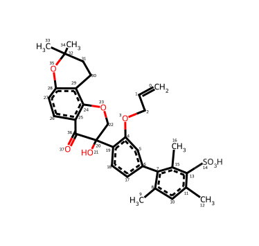 C=CCOc1cc(-c2c(C)cc(C)c(S(=O)(=O)O)c2C)ccc1C1(O)COc2c(ccc3c2CCC(C)(C)O3)C1=O